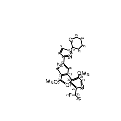 COC(=O)c1cnc(-c2ccn(C3CCCCO3)n2)cc1-c1cc(C(F)F)ncc1OC